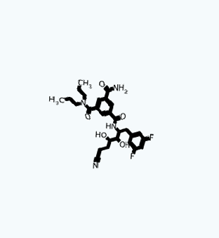 CCCN(CCC)C(=O)c1cc(C(N)=O)cc(C(=O)NC(Cc2cc(F)cc(F)c2)C(O)C(O)CCC#N)c1